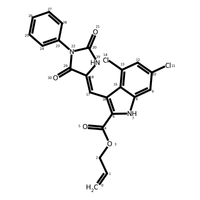 C=CCOC(=O)c1[nH]c2cc(Cl)cc(Cl)c2c1/C=C1\NC(=O)N(c2ccccc2)C1=O